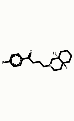 O=C(CCCN1CC[C@H]2CCCC[C@@H]2C1)c1ccc(F)cc1